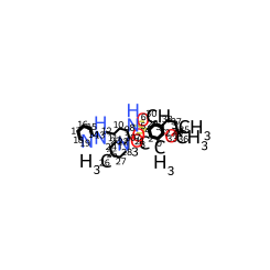 Cc1c(C)c(S(=O)(=O)NC(CCCNc2ccccn2)C(=O)N2CCC(C)CC2)c(C)c2c1OC(C)(C)CC2